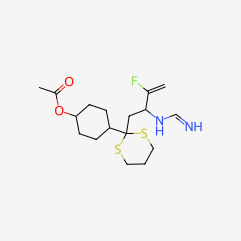 C=C(F)C(CC1(C2CCC(OC(C)=O)CC2)SCCCS1)NC=N